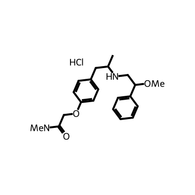 CNC(=O)COc1ccc(CC(C)NCC(OC)c2ccccc2)cc1.Cl